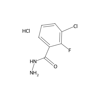 Cl.NNC(=O)c1cccc(Cl)c1F